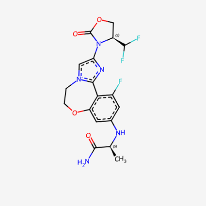 C[C@H](Nc1cc(F)c2c(c1)OCCn1cc(N3C(=O)OC[C@H]3C(F)F)nc1-2)C(N)=O